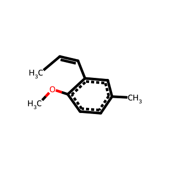 C/C=C\c1cc(C)ccc1OC